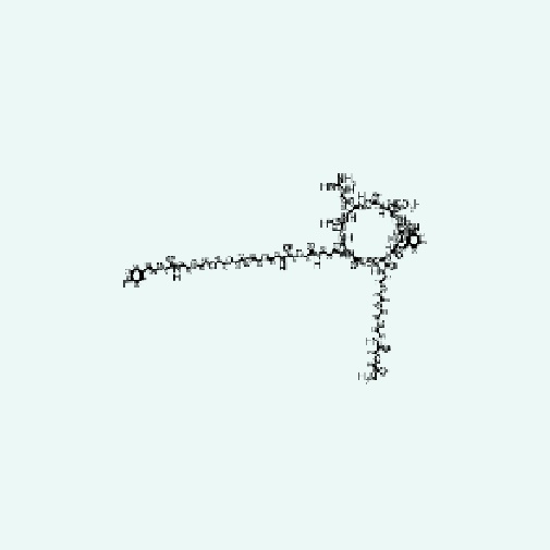 N=C(N)NCCC[C@@H]1NC(=O)[C@H](CS)NC(=O)[C@H](CCCCNC(=O)COCC(=O)NCCOCCOCCOCCOCCOCCNC(=O)CO/N=C/c2ccc(F)cc2)NC(=O)CSC[C@@H](C(=O)NCCOCCOCCOCCNC(=O)COCC(N)=O)NC(=O)[C@H](Cc2ccccc2)NC(=O)[C@H](CS)NC(=O)[C@H](CC(=O)O)NC(=O)CNC1=O